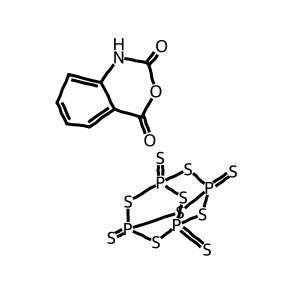 O=c1[nH]c2ccccc2c(=O)o1.S=P12SP3(=S)SP(=S)(S1)SP(=S)(S2)S3